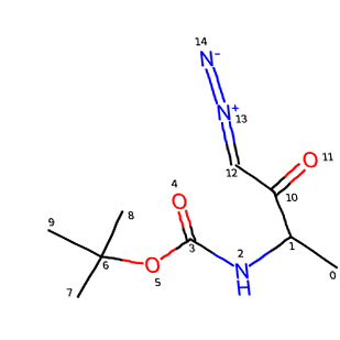 CC(NC(=O)OC(C)(C)C)C(=O)C=[N+]=[N-]